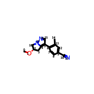 CO[C@@H]1Cc2c(-c3ccc(C#N)cc3C)cnn2C1